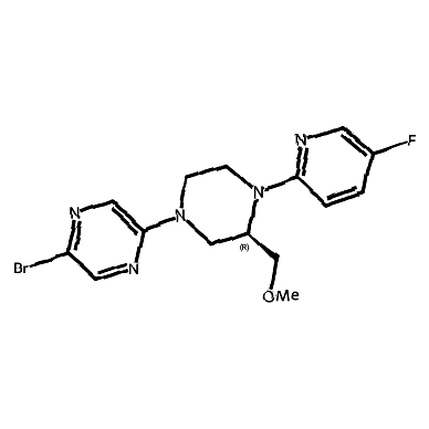 COC[C@H]1CN(c2cnc(Br)cn2)CCN1c1ccc(F)cn1